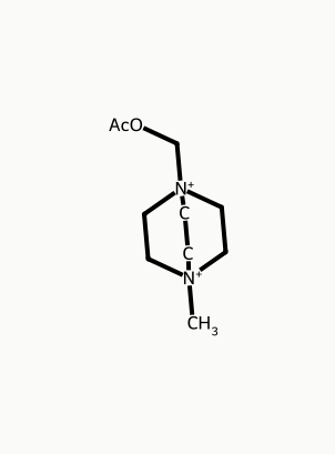 CC(=O)OC[N+]12CC[N+](C)(CC1)CC2